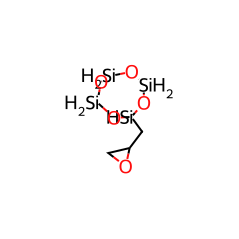 C1OC1C[SiH]1O[SiH2]O[SiH2]O[SiH2]O1